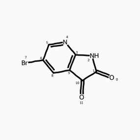 O=C1Nc2ncc(Br)cc2C1=O